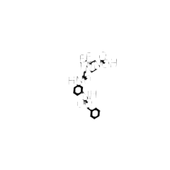 O=C(CN1CCN(C(=O)O)C[C@H]1C(F)(F)F)Nc1cccc(NC(=O)OCc2ccccc2)c1